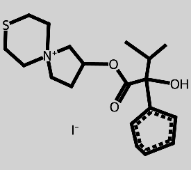 CC(C)C(O)(C(=O)OC1CC[N+]2(CCSCC2)C1)c1ccccc1.[I-]